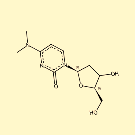 CN(C)c1ccn([C@H]2CC(O)[C@@H](CO)O2)c(=O)n1